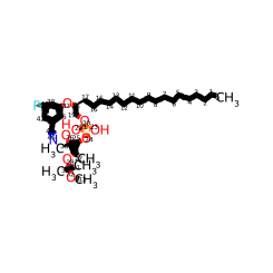 CCCCCCCCCCCCCCCCCC[C@@H](COP(=O)(O)OC1C(C)(OC(C)(C)OC)[C@]1(C)O)Oc1cc(F)cc(C#N)c1